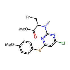 COC(=O)[C@@H](CC(C)C)N(C)c1nc(Cl)cc(Sc2ccc(OC)cc2)n1